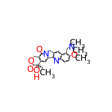 CC[C@@]1(O)C(=O)OCc2c1cc1n(c2=O)Cc2cc3c(CN(C)C)c(OC)ccc3nc2-1